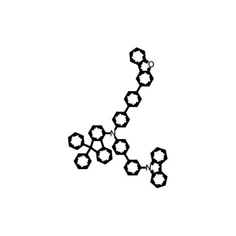 c1ccc(C2(c3ccccc3)c3ccccc3-c3c(N(c4ccc(-c5ccc(-c6ccc7oc8ccccc8c7c6)cc5)cc4)c4ccc(-c5cccc(-n6c7ccccc7c7ccccc76)c5)cc4)cccc32)cc1